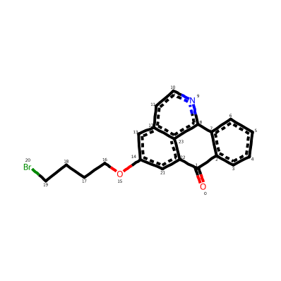 O=C1c2ccccc2-c2nccc3cc(OCCCCBr)cc1c23